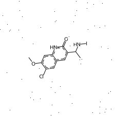 COc1cc2[nH]c(=O)c(C(C)NI)cc2cc1Cl